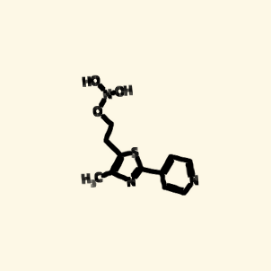 Cc1nc(-c2ccncc2)sc1CCON(O)O